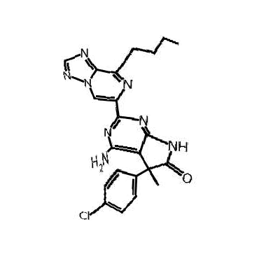 CCCCc1nc(-c2nc(N)c3c(n2)NC(=O)C3(C)c2ccc(Cl)cc2)cn2ncnc12